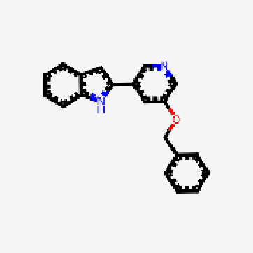 c1ccc(COc2cncc(-c3cc4ccccc4[nH]3)c2)cc1